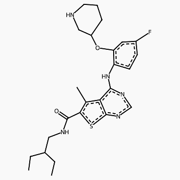 CCC(CC)CNC(=O)c1sc2ncnc(Nc3ccc(F)cc3OC3CCCNC3)c2c1C